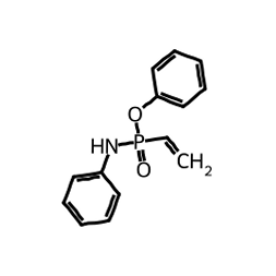 C=CP(=O)(Nc1ccccc1)Oc1ccccc1